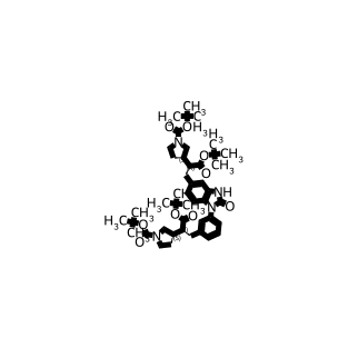 CC(C)(C)OC(=O)[C@H](Cc1cccc(-n2c(=O)[nH]c3cc(C[C@@H](C(=O)OC(C)(C)C)[C@@H]4CCN(C(=O)OC(C)(C)C)C4)ccc32)c1)[C@@H]1CCN(C(=O)OC(C)(C)C)C1